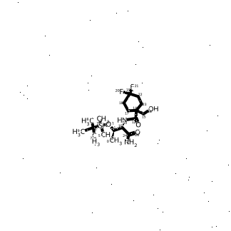 C[C@@H](O[Si](C)(C)C(C)(C)C)[C@H](NC(=O)C1(CO)CCC(F)(F)CC1)C(N)=O